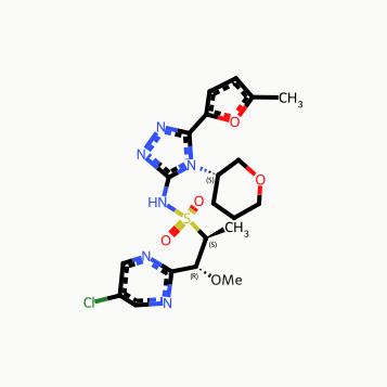 CO[C@H](c1ncc(Cl)cn1)[C@H](C)S(=O)(=O)Nc1nnc(-c2ccc(C)o2)n1[C@H]1CCCOC1